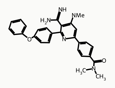 CNc1cc(-c2ccc(C(=O)N(C)C)cc2)nc(-c2ccc(Oc3ccccc3)cc2)c1C(=N)N